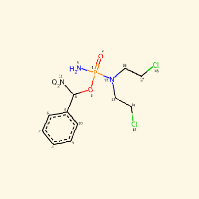 NP(=O)(OC(c1ccccc1)[N+](=O)[O-])N(CCCl)CCCl